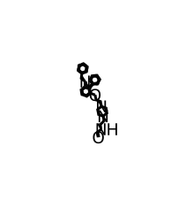 O=CNCCN1CCN(CCOc2cccc3c2c2ccccc2n3Cc2ccccc2)CC1